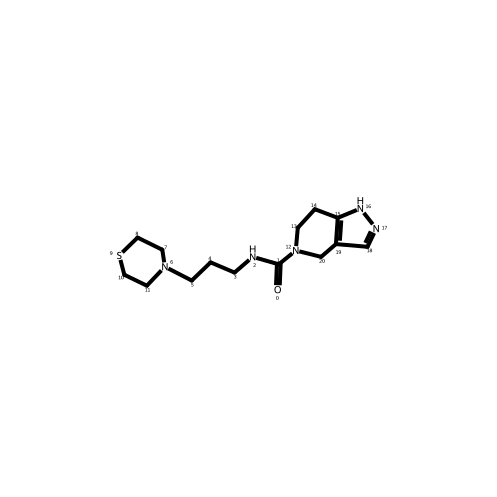 O=C(NCCCN1CCSCC1)N1CCc2[nH]ncc2C1